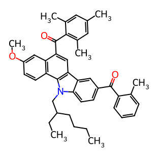 CCCCC(CC)Cn1c2ccc(C(=O)c3ccccc3C)cc2c2cc(C(=O)c3c(C)cc(C)cc3C)c3cc(OC)ccc3c21